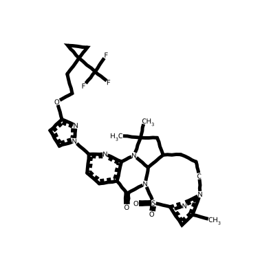 Cc1cc2nn1CCCC1CC(C)(C)N3c4nc(-n5ccc(OCCC6(C(F)(F)F)CC6)n5)ccc4C(=O)N(C13)S2(=O)=O